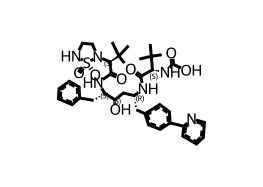 CC(C)(C)[C@H](NC(=O)O)C(=O)N[C@H](Cc1ccc(-c2ccccn2)cc1)C[C@H](O)[C@H](Cc1ccccc1)NC(=O)[C@@H](N1CCNS1(=O)=O)C(C)(C)C